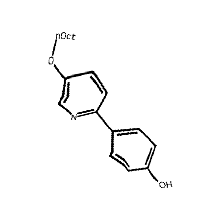 CCCCCCCCOc1ccc(-c2ccc(O)cc2)nc1